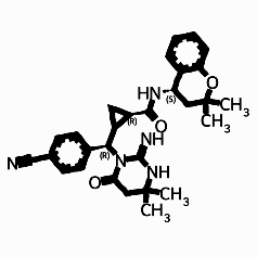 CC1(C)CC(=O)N([C@@H](c2ccc(C#N)cc2)C2C[C@H]2C(=O)N[C@H]2CC(C)(C)Oc3ccccc32)C(=N)N1